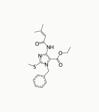 CCOC(=O)c1c(NC(=O)C=C(C)C)nc(SC)n1Cc1ccccc1